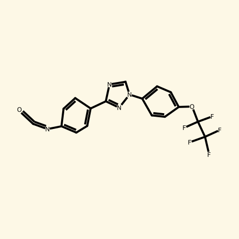 O=C=Nc1ccc(-c2ncn(-c3ccc(OC(F)(F)C(F)(F)F)cc3)n2)cc1